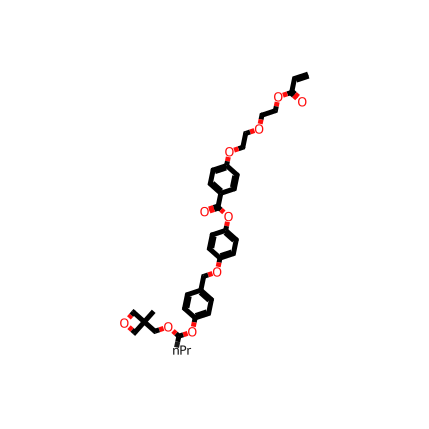 C=CC(=O)OCCOCCOc1ccc(C(=O)Oc2ccc(OCc3ccc(OC(CCC)OCC4(C)COC4)cc3)cc2)cc1